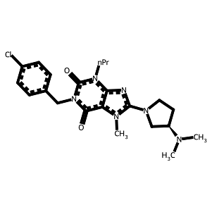 CCCn1c(=O)n(Cc2ccc(Cl)cc2)c(=O)c2c1nc(N1CC[C@@H](N(C)C)C1)n2C